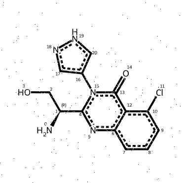 N[C@@H](CO)c1nc2cccc(Cl)c2c(=O)n1-c1cn[nH]c1